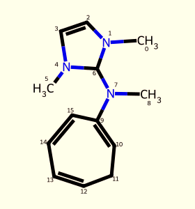 CN1C=CN(C)C1N(C)C1=CCC=CC=C1